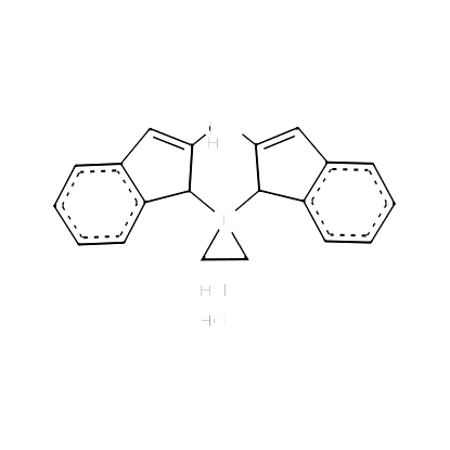 CC1=Cc2ccccc2[CH]1[Hf]1([CH]2C(C)=Cc3ccccc32)[CH2][CH2]1.Cl.Cl